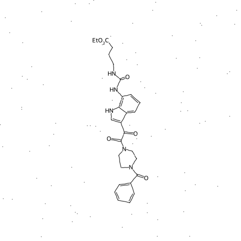 CCOC(=O)CCCNC(=O)Nc1cccc2c(C(=O)C(=O)N3CCN(C(=O)c4ccccc4)CC3)c[nH]c12